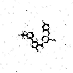 Cc1cnc(-c2ccnc(C(C)(C)O)n2)cc1C(=O)N1C[C@H](C)N(Cc2ncc(F)cc2F)C[C@H]1C